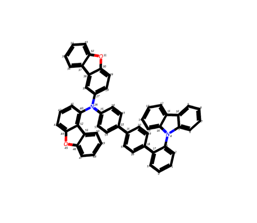 c1ccc(-n2c3ccccc3c3ccccc32)c(-c2ccc(-c3ccc(N(c4ccc5oc6ccccc6c5c4)c4cccc5oc6ccccc6c45)cc3)cc2)c1